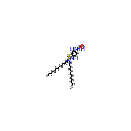 CCCCCCCCCCCCN(CCCCCCCCCCCC)C(=S)Nc1ccc(NNC=O)cc1